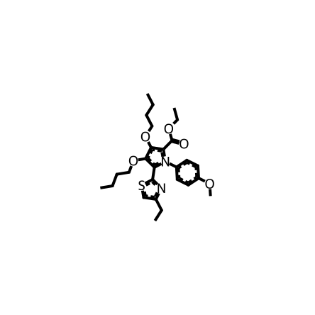 CCCCOc1c(OCCCC)c(-c2nc(CC)cs2)n(-c2ccc(OC)cc2)c1C(=O)OCC